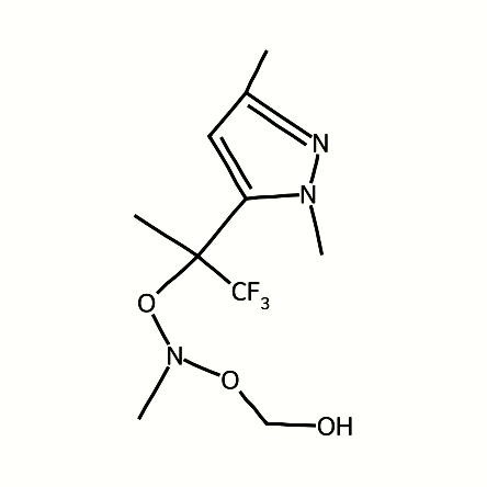 Cc1cc(C(C)(ON(C)OCO)C(F)(F)F)n(C)n1